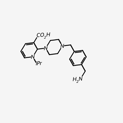 CC(C)N1C=CC=C(C(=O)O)C1N1CCN(Cc2ccc(CN)cc2)CC1